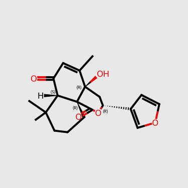 CC1=CC(=O)[C@H]2C(C)(C)CCC[C@@]23C(=O)O[C@@H](c2ccoc2)C[C@@]13O